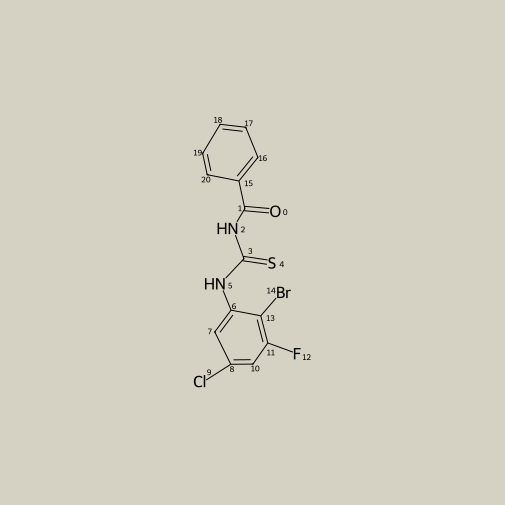 O=C(NC(=S)Nc1cc(Cl)cc(F)c1Br)c1ccccc1